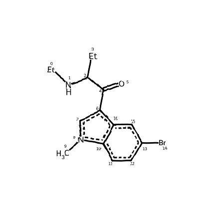 CCNC(CC)C(=O)c1cn(C)c2ccc(Br)cc12